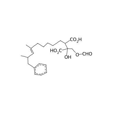 C/C(=C\C(C)Cc1ccccc1)CCCCCC(C(=O)O)C(O)(COC=O)C(=O)O